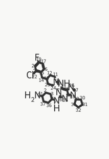 NC1CCC(Nc2nc(NN3CCC(Cc4ccc(F)cc4Cl)CC3)c3ncn(C4CCCC4)c3n2)CC1